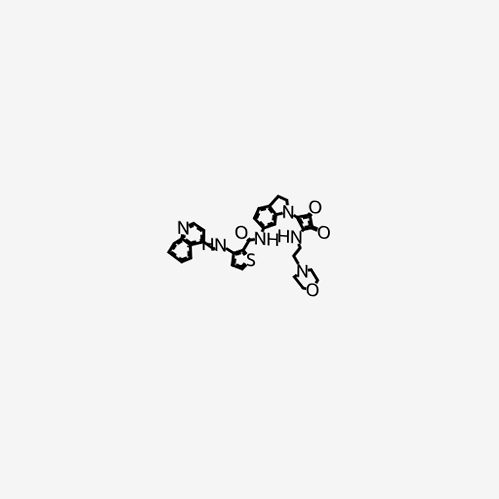 O=C(Nc1ccc2c(c1)N(c1c(NCCN3CCOCC3)c(=O)c1=O)CC2)c1sccc1NCc1ccnc2ccccc12